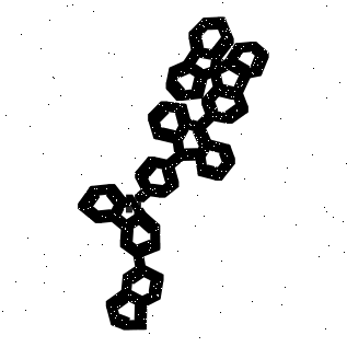 C1=CC2=C(CC1)C1(c3cc(-c4c5ccccc5c(-c5ccc(-n6c7ccccc7c7cc(-c8ccc9ccccc9c8)ccc76)cc5)c5ccccc45)ccc32)c2ccccc2-c2ccccc21